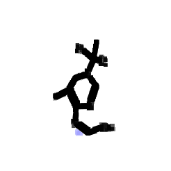 CCC(C)/C=N\C1=C(C)CN(C(C)(CC)CC)C=N1